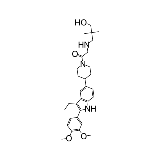 CCc1c(-c2ccc(OC)c(OC)c2)[nH]c2ccc(C3CCN(C(=O)CNCC(C)(C)CO)CC3)cc12